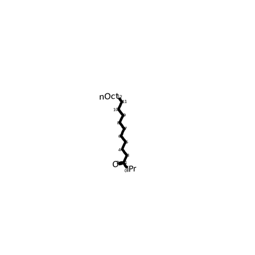 [CH2]C(C)C(=O)CCCCCCCCCCCCCCCCC